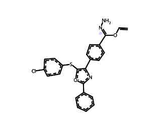 C=CO/C(=N\N)c1ccc(-c2nc(-c3ccccc3)oc2Sc2ccc(Cl)cc2)cc1